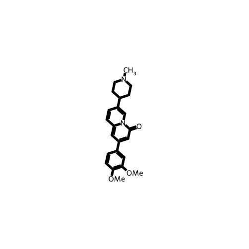 COc1ccc(-c2cc(=O)n3cc(C4CCN(C)CC4)ccc3c2)cc1OC